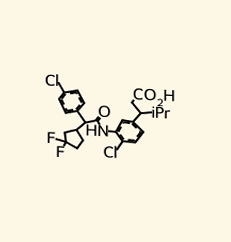 CC(C)C(CC(=O)O)c1ccc(Cl)c(NC(=O)C(c2ccc(Cl)cc2)C2CCC(F)(F)C2)c1